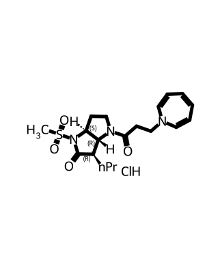 CCC[C@H]1C(=O)N(S(C)(=O)=O)[C@H]2CCN(C(=O)CCN3C=CC=CC=C3)[C@H]12.Cl